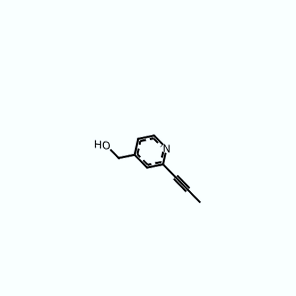 CC#Cc1cc(CO)ccn1